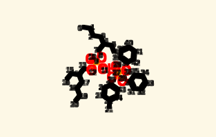 CCCCC(CC)COP(=O)(O)OCC(CC)CCCC.Cc1ccc(OP(=O)(Oc2ccccc2)Oc2ccccc2)cc1